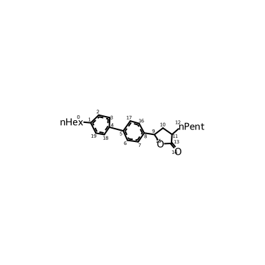 CCCCCCc1ccc(-c2ccc(C3CC(CCCCC)C(=O)O3)cc2)cc1